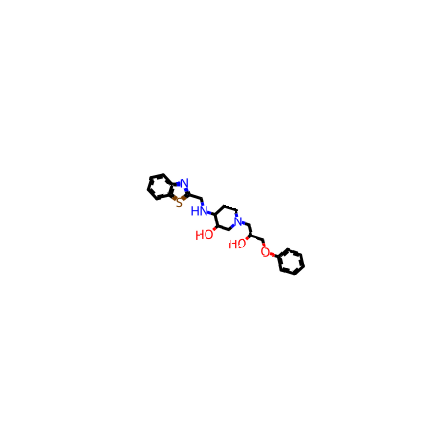 OC(COc1ccccc1)CN1CCC(NCc2nc3ccccc3s2)C(O)C1